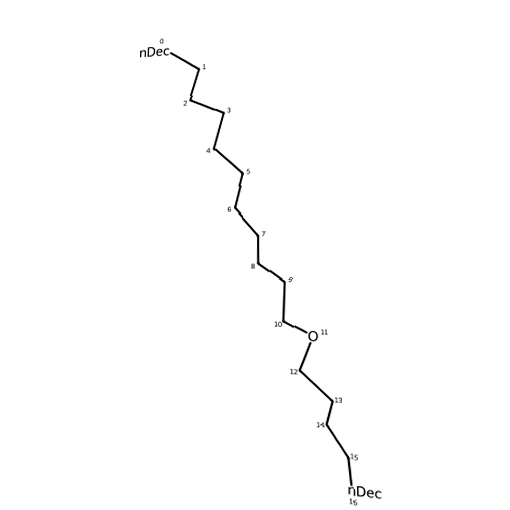 CCCCCCCCCCCCCCCCCCCCOCCCCCCCCCCCCCC